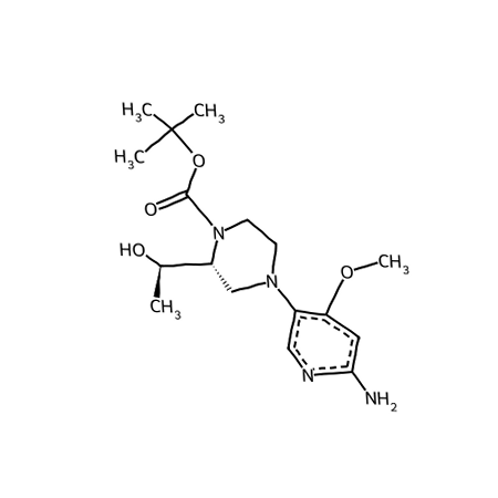 COc1cc(N)ncc1N1CCN(C(=O)OC(C)(C)C)[C@@H]([C@@H](C)O)C1